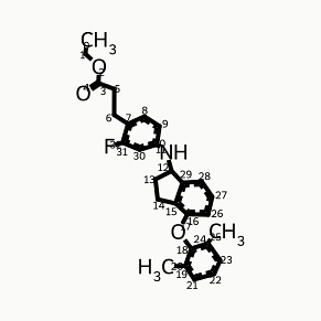 CCOC(=O)CCc1ccc(NC2CCc3c(Oc4c(C)cccc4C)cccc32)cc1F